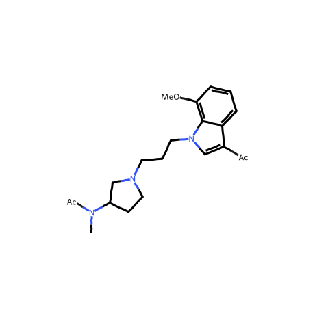 COc1cccc2c(C(C)=O)cn(CCCN3CCC(N(C)C(C)=O)C3)c12